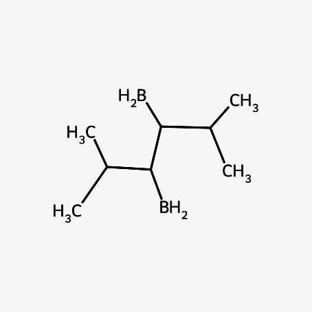 BC(C(C)C)C(B)C(C)C